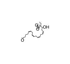 CCC(C(O)C/C=C\C/C=C\C/C=C\C/C=C\CCC[C]=O)[N+](=O)[O-]